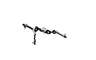 C=CC(=O)OCCCCCCOc1ccc(-c2ccc(OC(=O)/C=C/c3ccc(OCCCCCCOC(=O)C=C)c(OCCCCCCOC(=O)C=C)c3)cc2)cc1